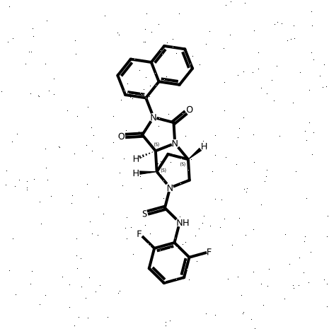 O=C1[C@@H]2[C@@H]3C[C@@H](CN3C(=S)Nc3c(F)cccc3F)N2C(=O)N1c1cccc2ccccc12